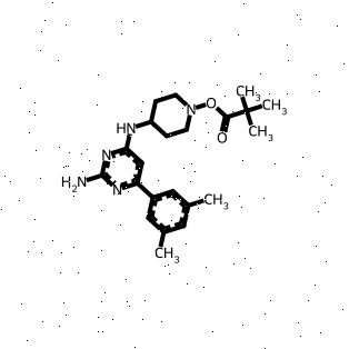 Cc1cc(C)cc(-c2cc(NC3CCN(OC(=O)C(C)(C)C)CC3)nc(N)n2)c1